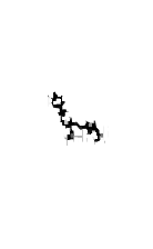 CCOC[C@@]1(CCc2scc3[nH]c(=O)[nH]c23)CCN(C(C)(C)c2ccc(C)nc2)C1